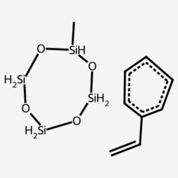 C=Cc1ccccc1.C[SiH]1O[SiH2]O[SiH2]O[SiH2]O1